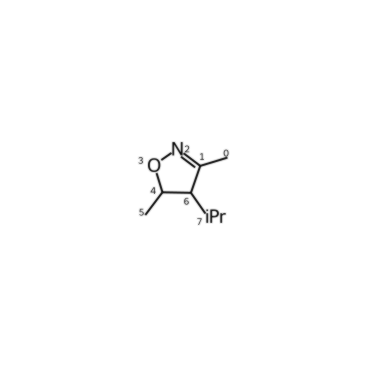 CC1=NOC(C)C1C(C)C